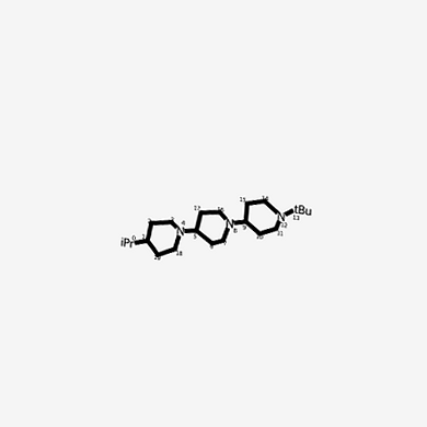 CC(C)C1CCN(C2CCN(C3CCN(C(C)(C)C)CC3)CC2)CC1